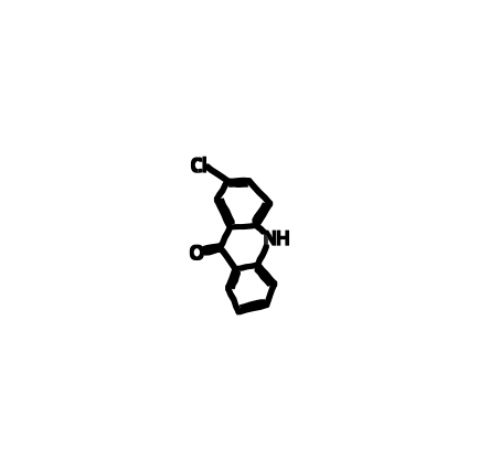 O=c1c2ccccc2[nH]c2ccc(Cl)cc12